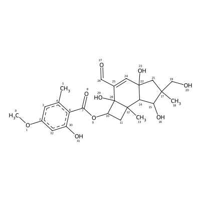 COc1cc(C)c(C(=O)OC2CC3(C)C4C(O)C(C)(CO)CC4(O)C=C(C=O)C23O)c(O)c1